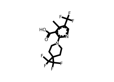 Cc1c(C(F)(F)F)cnc(N2CCC3(CC2)C(F)(F)C3(F)F)c1C(=O)O